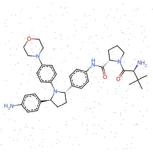 CC(C)(C)[C@H](N)C(=O)N1CCC[C@H]1C(=O)Nc1ccc([C@@H]2CC[C@@H](c3ccc(N)cc3)N2c2ccc(N3CCOCC3)cc2)cc1